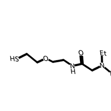 CCN(CC)CC(=O)NCCOCCS